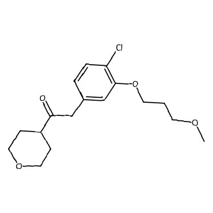 COCCCOc1cc(CC(=O)C2CCOCC2)ccc1Cl